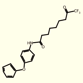 O=C(CCCCCCC(=O)C(F)(F)F)Nc1ccc(Oc2ccccc2)cc1